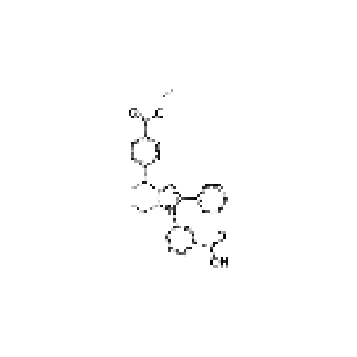 CCOC(=O)c1ccc(C2CCCc3c2cc(-c2ccccc2)n3-c2cccc(C(=O)O)c2)cc1